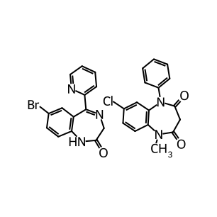 CN1C(=O)CC(=O)N(c2ccccc2)c2cc(Cl)ccc21.O=C1CN=C(c2ccccn2)c2cc(Br)ccc2N1